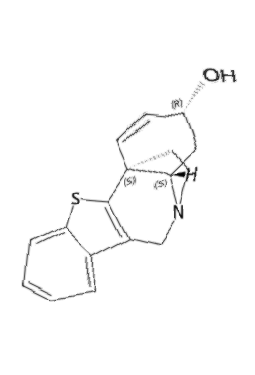 O[C@H]1C=C[C@]23CCN(Cc4c2sc2ccccc42)[C@H]3C1